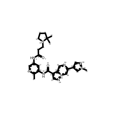 Cc1ncc(NC(=O)CCN2CCCC2(C)C)cc1NC(=O)c1cnn2cc(-c3cnn(C)c3)ncc12